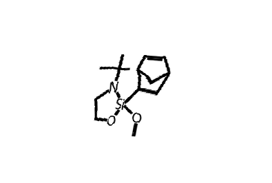 CO[Si]1(C2CC3C=CC2C3)OCCN1C(C)(C)C